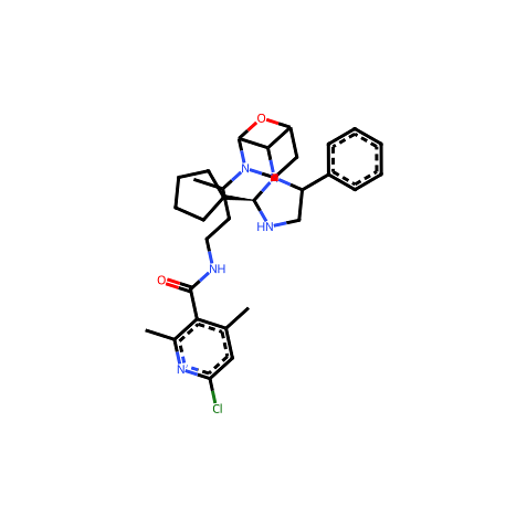 Cc1cc(Cl)nc(C)c1C(=O)NCCC(C)N1CCC2OC1C2N1C(c2ccccc2)CN[C@H]1C1CCCC1